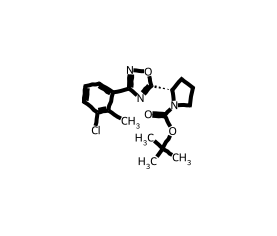 Cc1c(Cl)cccc1-c1noc([C@@H]2CCCN2C(=O)OC(C)(C)C)n1